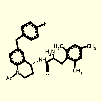 CC(=O)N1CC[C@@H](NC(=O)[C@@H](N)Cc2c(C)cc(C)cc2C)c2cc(Cc3ccc(F)cc3)ccc21